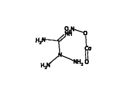 N=C(N)N(N)N.[O]=[Co][O][N+](=O)[O-]